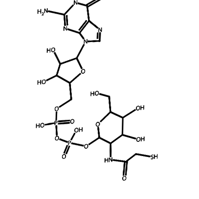 Nc1nc2c(ncn2C2OC(COP(=O)(O)OP(=O)(O)OC3OC(CO)C(O)C(O)C3NC(=O)CS)C(O)C2O)c(=O)[nH]1